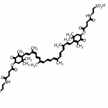 CC(C=CC=C(C)C=CC1=C(C)C(=O)C(OC(=O)CCC(=O)NCCS(=O)(=O)O)CC1(C)C)=CC=CC=C(C)C=CC=C(C)C=CC1=C(C)C(=O)C(OC(=O)CCC(=O)NCCS(=O)(=O)O)CC1(C)C